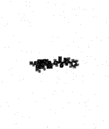 CC(O[Si](C)(C)C(C)(C)C)c1nnc([C@H]2C[C@H](NC(=O)c3ncc(-c4ccccc4)s3)C2)o1